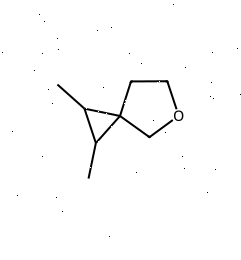 CC1C(C)C12CCOC2